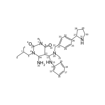 CC(C)CN1C(=O)N(C)C(=O)C(C(Nc2ccccc2)N(C)Cc2ccc(C3CCCN3)cc2)C1N